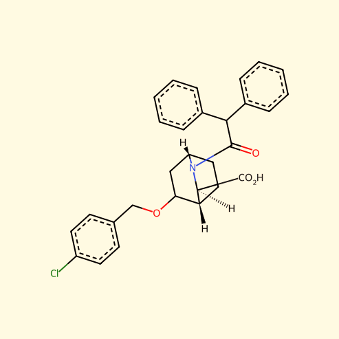 O=C(O)[C@H]1[C@@H]2CC[C@@H](CC2OCc2ccc(Cl)cc2)N1C(=O)C(c1ccccc1)c1ccccc1